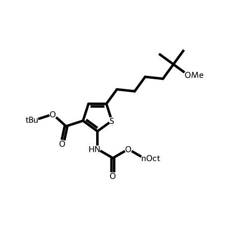 CCCCCCCCOC(=O)Nc1sc(CCCCC(C)(C)OC)cc1C(=O)OC(C)(C)C